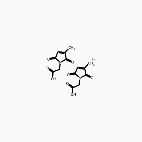 CC1=CC(=O)N(CC(=O)O)C1=O.CC1=CC(=O)N(CC(=O)O)C1=O.[Zn]